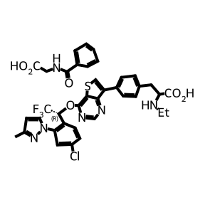 CCNC(Cc1ccc(-c2csc3c(O[C@H](c4ccc(Cl)cc4-n4ccc(C)n4)C(F)(F)F)ncnc23)cc1)C(=O)O.O=C(O)CNC(=O)c1ccccc1